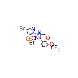 CCS(=O)(=O)c1cc(Br)cnc1-c1nc2c(n1C)-c1cccc(OC(F)(F)F)c1OC2